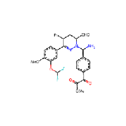 CCC1CC(C=O)N(C(N)c2ccc(C(=O)C(=O)OC)cc2)N=C1c1ccc(OC)c(OC(F)F)c1